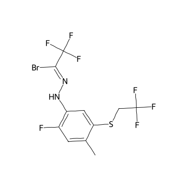 Cc1cc(F)c(NN=C(Br)C(F)(F)F)cc1SCC(F)(F)F